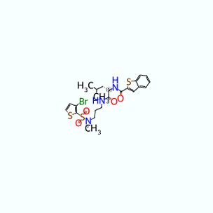 CC(C)C[C@H](NC(=O)c1cc2ccccc2s1)C(=O)NCCCN(C)S(=O)(=O)c1sccc1Br